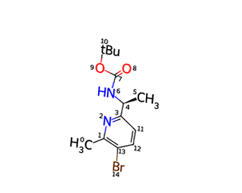 Cc1nc([C@H](C)NC(=O)OC(C)(C)C)ccc1Br